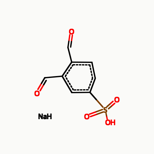 O=Cc1ccc(S(=O)(=O)O)cc1C=O.[NaH]